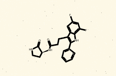 O=C(CCc1c(-c2ccccc2)[nH]c2c(F)cc(F)cc12)N[C@H]1CCNC1=O